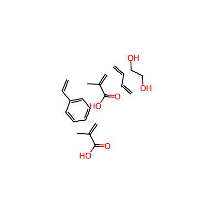 C=C(C)C(=O)O.C=C(C)C(=O)O.C=CC=C.C=Cc1ccccc1.OCCO